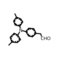 Cc1ccc(N(c2ccc(C)cc2)c2ccc(CC=O)cc2)cc1